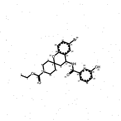 CCOC(=O)N1CCC2(CC1)CC(NC(=O)c1cccc(O)n1)c1cc(Br)ccc1O2